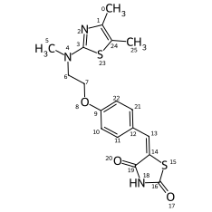 Cc1nc(N(C)CCOc2ccc(C=C3SC(=O)NC3=O)cc2)sc1C